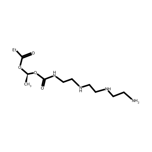 CCC(=O)O[C@H](C)OC(=O)NCCNCCNCCN